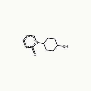 O=c1ncccn1C1CCC(O)CC1